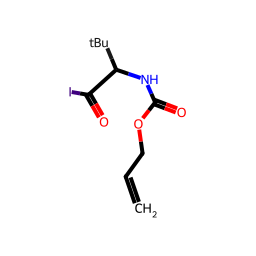 C=CCOC(=O)NC(C(=O)I)C(C)(C)C